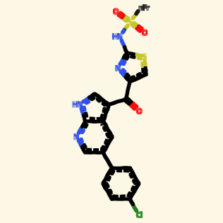 CCCS(=O)(=O)Nc1nc(C(=O)c2c[nH]c3ncc(-c4ccc(Cl)cc4)cc23)cs1